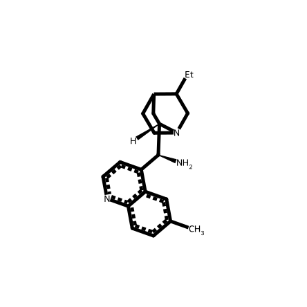 CCC1CN2CCC1C[C@H]2[C@@H](N)c1ccnc2ccc(C)cc12